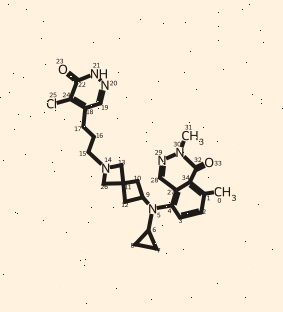 Cc1ccc(N(C2CC2)C2CC3(C2)CN(CCCc2cn[nH]c(=O)c2Cl)C3)c2cnn(C)c(=O)c12